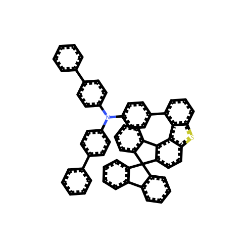 c1ccc(-c2ccc(N(c3ccc(-c4ccccc4)cc3)c3ccc(-c4cccc5sc6ccc7c(c6c45)-c4ccccc4C74c5ccccc5-c5ccccc54)cc3)cc2)cc1